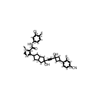 Cn1cnc(C2CC3CC(O)(C#CC4(O)CC(c5ccc(C#N)cc5F)C4)CC3C2)c1C(=O)Nc1ccc(F)c(Cl)c1